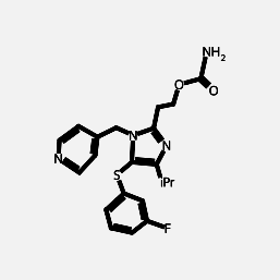 CC(C)c1nc(CCOC(N)=O)n(Cc2ccncc2)c1Sc1cccc(F)c1